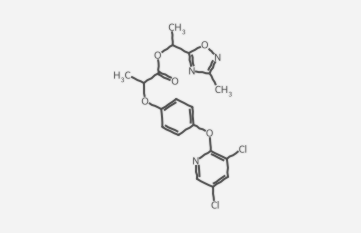 Cc1noc(C(C)OC(=O)C(C)Oc2ccc(Oc3ncc(Cl)cc3Cl)cc2)n1